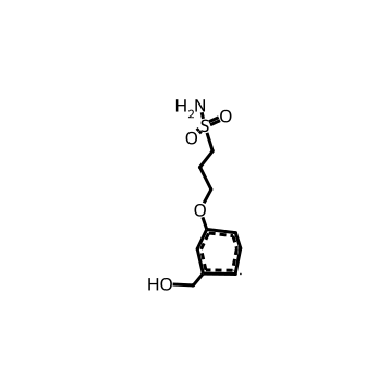 NS(=O)(=O)CCCOc1cc[c]c(CO)c1